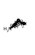 CN1CCN(CC(=O)Oc2ccccc2/N=N/c2ccc(NC(=O)CCN)nc2N)CC1